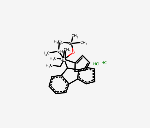 Cl.Cl.[CH2]=[Zr]([CH3])([CH2]C)([O][Si](C)(C)C)([C]1=CC=CC1)([CH]1c2ccccc2-c2ccccc21)[SiH](C)C